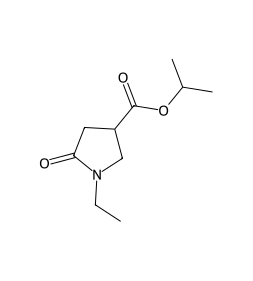 CCN1CC(C(=O)OC(C)C)CC1=O